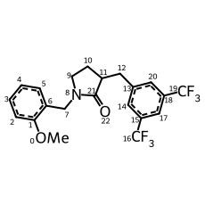 COc1ccccc1CN1CCC(Cc2cc(C(F)(F)F)cc(C(F)(F)F)c2)C1=O